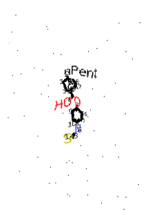 CCCCCC12CCC(C(O)Oc3ccc(N=C=S)cc3)(CC1)CC2